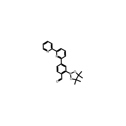 CC1(C)OB(c2cc(-c3cccc(-c4ccccn4)n3)ccc2C=O)OC1(C)C